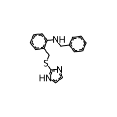 c1ccc(CNc2ccccc2CSc2ncc[nH]2)cc1